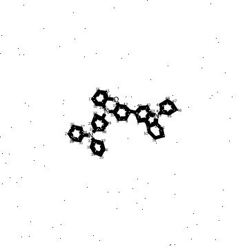 C1=Cc2c(c3cc(-c4ccc5c(c4)Oc4ccccc4N5c4ccc(N(c5ccccc5)c5ccccc5)cc4)ccc3n2-c2ccccc2)CC1